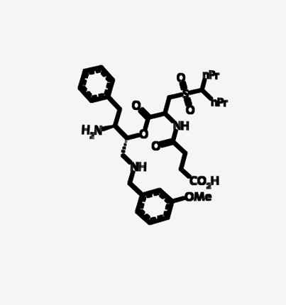 CCCC(CCC)S(=O)(=O)CC(NC(=O)CCC(=O)O)C(=O)O[C@H](CNCc1cccc(OC)c1)[C@@H](N)Cc1ccccc1